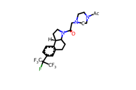 CC(=O)N1CCN(CC(=O)N2CC[C@H]3c4ccc(C(F)(C(F)(F)F)C(F)(F)F)cc4CCC32)CC1